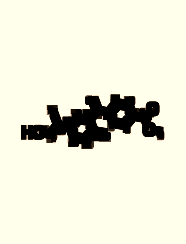 C=C(c1ccc(C(=O)OC)cc1)c1cc(C(C)CO)ccc1C